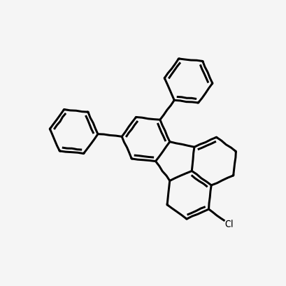 ClC1=CCC2C3=C1CCC=C3c1c(-c3ccccc3)cc(-c3ccccc3)cc12